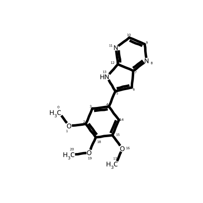 COc1cc(-c2cc3nccnc3[nH]2)cc(OC)c1OC